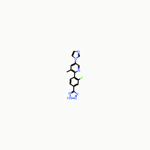 Cc1cc(-n2ccnc2)cnc1-c1ccc(-c2nn[nH]n2)cc1F